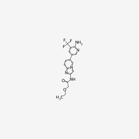 CCOCC(=O)Nc1cn2cc(-c3cnc(N)c(C(F)(F)F)c3)ccc2n1